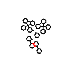 c1ccc(-c2ccc(N(c3cccc(N(c4cccc(C5(c6ccccc6)c6ccccc6-c6ccccc65)c4)c4ccc5c(c4)C(c4ccccc4)(c4ccccc4)c4ccccc4-5)c3)c3ccccc3-c3ccccc3)cc2)cc1